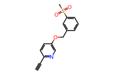 C#Cc1ccc(OCc2cccc(S(C)(=O)=O)c2)cn1